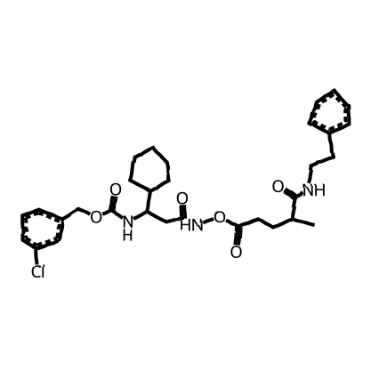 CC(CCC(=O)ONC(=O)CC(NC(=O)OCc1cccc(Cl)c1)C1CCCCC1)C(=O)NCCc1ccccc1